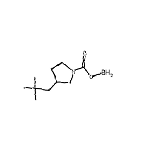 BOC(=O)N1CCC(CC(C)(C)C)C1